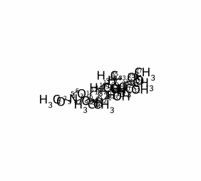 COCCN1CCO[C@@H](O[C@H]2CC[C@]34C[C@]35CC[C@]3(C)[C@@H]6[C@H](O[C@@H]([C@H](OC(C)=O)C(C)(C)O)C[C@H]6C)[C@H](O)[C@@]3(C)[C@@H]5CC[C@H]4C2(C)C)C1